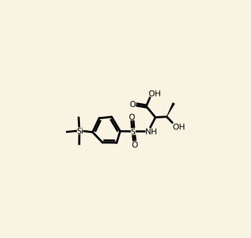 C[C@@H](O)C(NS(=O)(=O)c1ccc([Si](C)(C)C)cc1)C(=O)O